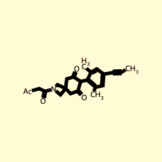 CC#Cc1cc(C)c(C2C(=O)CC3(CC2=O)CN(C(=O)CC(C)=O)C3)c(C)c1